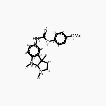 COc1ccc(OC(=O)Nc2ccc3c(c2)C2(C)CCN(C)C2N3C)cc1